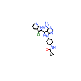 Nc1ncnc2c1c(-c1[nH]c3ncccc3c1Cl)nn2C1CCC(NC(=O)C2CC2)CC1